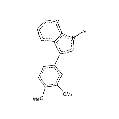 COc1ccc(-c2cn(C(C)=O)c3ncccc23)cc1OC